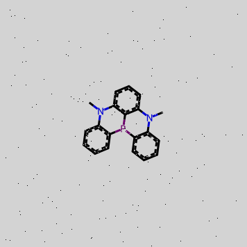 CN1c2ccccc2P2c3ccccc3N(C)c3cccc1c32